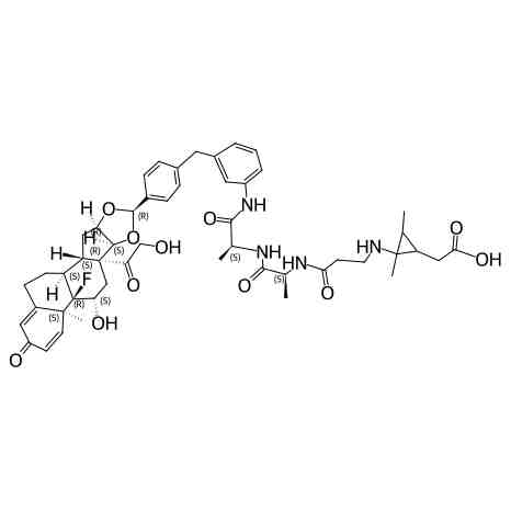 CC1C(CC(=O)O)C1(C)NCCC(=O)N[C@@H](C)C(=O)N[C@@H](C)C(=O)Nc1cccc(Cc2ccc([C@H]3O[C@@H]4[C@@H](C[C@H]5[C@@H]6CCC7=CC(=O)C=C[C@]7(C)[C@@]6(F)[C@@H](O)C[C@]45C(=O)CO)O3)cc2)c1